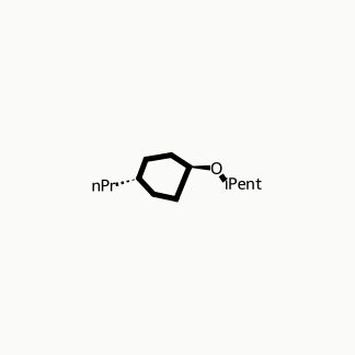 CCCC(C)O[C@H]1CC[C@H](CCC)CC1